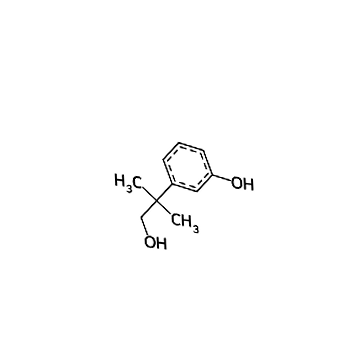 CC(C)(CO)c1cccc(O)c1